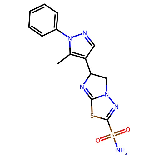 Cc1c(C2CN3N=C(S(N)(=O)=O)SC3=N2)cnn1-c1ccccc1